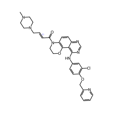 CN1CCN(C/C=C/C(=O)N2CCOc3c2ccc2ncnc(Nc4ccc(OCc5ccccn5)c(Cl)c4)c32)CC1